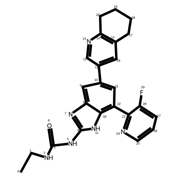 CCNC(=O)Nc1nc2cc(-c3cnc4c(c3)CCCC4)cc(-c3ncccc3F)c2[nH]1